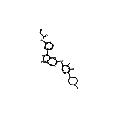 C=CC(=O)Nc1cccc(-c2n[nH]c3cnc(Nc4ccc(N5CCN(C)CC5)c(F)c4F)nc23)c1